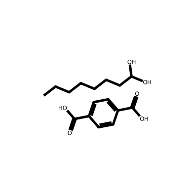 CCCCCCCC(O)O.O=C(O)c1ccc(C(=O)O)cc1